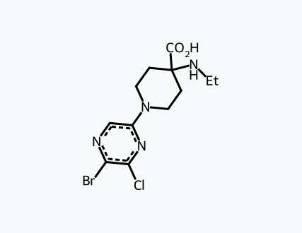 CCNC1(C(=O)O)CCN(c2cnc(Br)c(Cl)n2)CC1